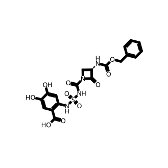 O=C(N[C@H]1CN(C(=O)NS(=O)(=O)Nc2cc(O)c(O)cc2C(=O)O)C1=O)OCc1ccccc1